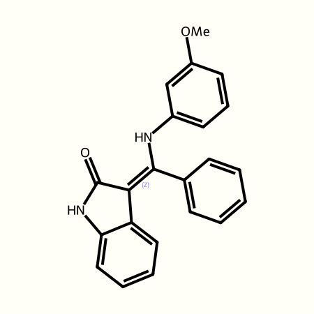 COc1cccc(N/C(=C2\C(=O)Nc3ccccc32)c2ccccc2)c1